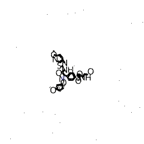 COCCNS(=O)(=O)c1ccc(/C(=N\O[C@@H]2CC[C@@H](OC)C2)C(=O)Nc2nc3ccc(OC)nc3s2)cc1